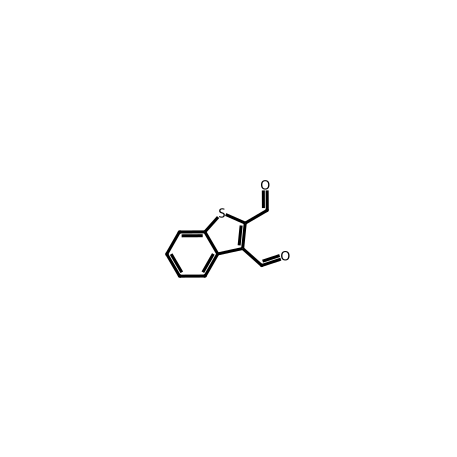 O=Cc1sc2ccccc2c1C=O